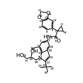 Cc1cc(NC(=O)C2(c3ccc4c(c3)OCO4)CC2)cc2cc(C(C)(C)C)n(C[C@H](O)CO)c12